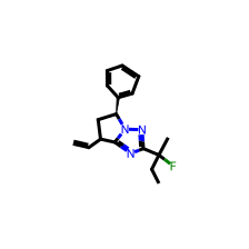 C=CC1C[C@@H](c2ccccc2)n2nc(C(C)(F)CC)nc21